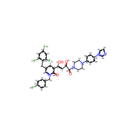 O=C(C=C(O)c1cc(Cc2c(F)cc(F)cc2F)cn(Cc2ccc(F)cc2)c1=O)C(=O)N1CCN(c2ccc(-n3ccnc3)cc2)CC1